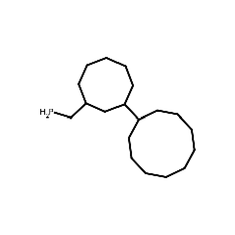 PCC1CCCCCC(C2CCCCCCCCC2)C1